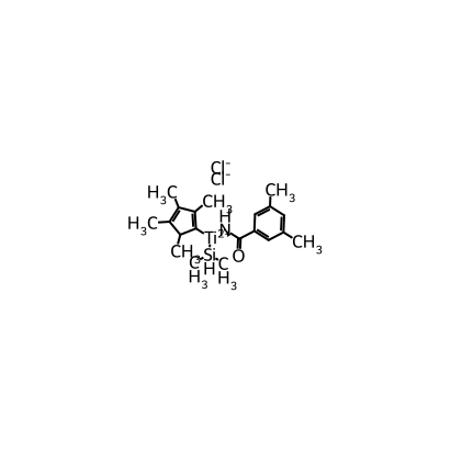 CC1=C(C)C(C)[C]([Ti+2]([NH]C(=O)c2cc(C)cc(C)c2)[SiH](C)C)=C1C.[Cl-].[Cl-]